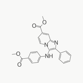 COC(=O)c1ccc(Nc2c(-c3ccccc3)nc3cc(C(=O)OC)ccn23)cc1